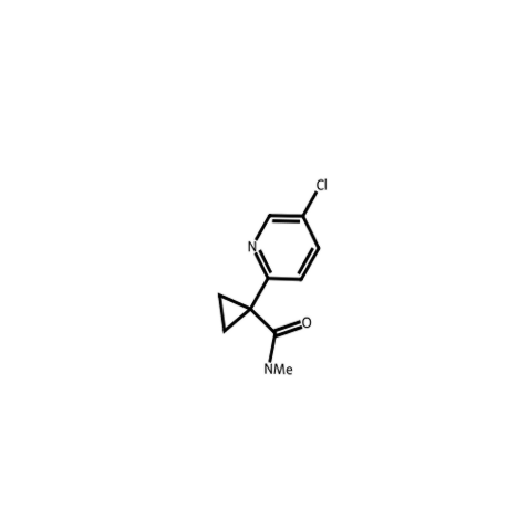 CNC(=O)C1(c2ccc(Cl)cn2)CC1